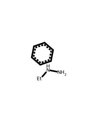 CCNN.c1ccccc1